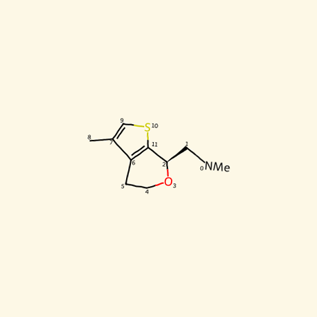 CNC[C@H]1OCCc2c(C)csc21